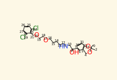 CC1(C)OCc2cc(C(O)CNCCCCCOCCOCc3c(Cl)cccc3Cl)ccc2O1